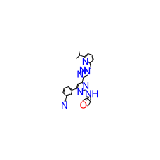 CC(C)c1cccc(Cn2cc(-c3cc(-c4cccc(C#N)c4)nc(N[C@@H]4CCOC4)n3)nn2)n1